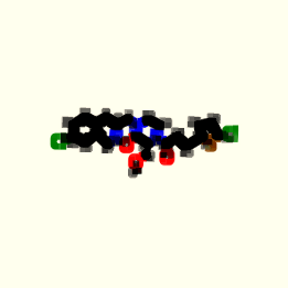 COC[C@H]1C(=O)N(Cc2cc3ccc(Cl)cc3cn2)CCN1C(=O)/C=C/c1ccc(Cl)s1